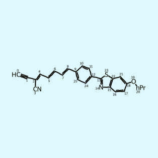 C#C/C(C#N)=C/C=C/C=C/c1ccc(-c2nc3ccc(OCCC)cc3s2)cc1